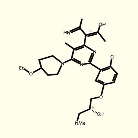 CCOC1CCN(c2nc(-c3cc(OC[C@H](O)CNC)ccc3Cl)nc(/C(C(C)=N)=C(\C)O)c2C)CC1